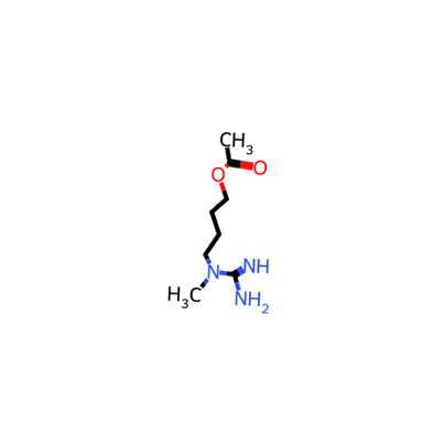 CC(=O)OCCCCN(C)C(=N)N